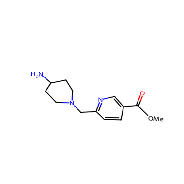 COC(=O)c1ccc(CN2CCC(N)CC2)nc1